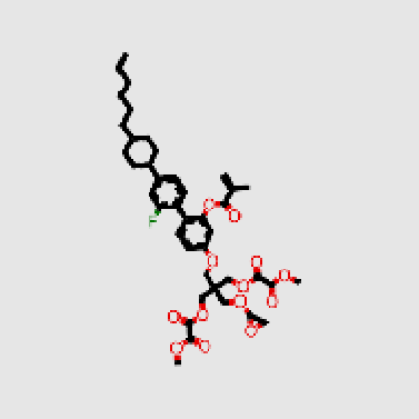 C=C(C)C(=O)Oc1cc(OCC(COC(=O)C(=O)OC)(COC(=O)C(=O)OC)COC2CO2)ccc1-c1ccc(C2CCC(CCCCCC)CC2)cc1F